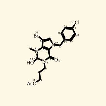 CC(=O)OCCCN1C(=O)c2c(c(Br)cn2Cc2ccc(Cl)cc2)N(C)C1O